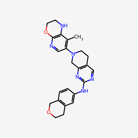 Cc1c(N2CCc3cnc(Nc4ccc5c(c4)CCOC5)nc3C2)cnc2c1NCCO2